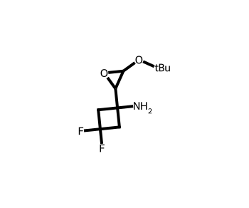 CC(C)(C)OC1OC1C1(N)CC(F)(F)C1